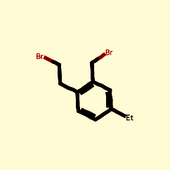 CCc1ccc(CCBr)c(CBr)c1